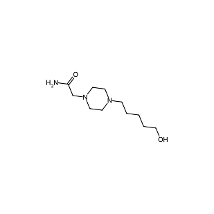 NC(=O)CN1CCN(CCCCCO)CC1